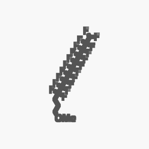 COCCCC(F)(F)C(F)(F)C(F)(F)C(F)(F)C(F)(F)C(F)(F)C(F)(F)C(F)(F)C(F)(F)C(F)F